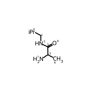 CC(C)CNC(=O)C(C)N